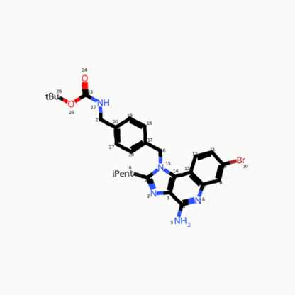 CCCC(C)c1nc2c(N)nc3cc(Br)ccc3c2n1Cc1ccc(CNC(=O)OC(C)(C)C)cc1